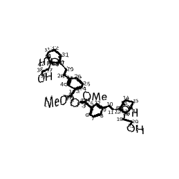 CO[C@H](O[C@@H](OC)c1cccc(CC[C@H]2C3CC[C@H](O3)[C@H]2CCO)c1)c1cccc(CC[C@@H]2C3CC[C@@H](O3)[C@@H]2CCO)c1